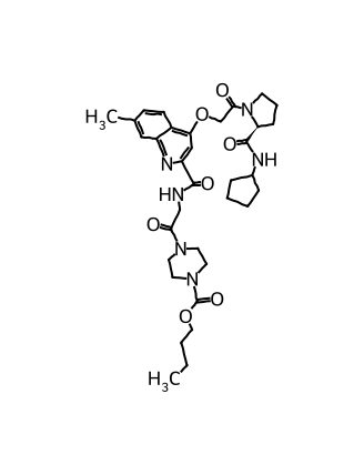 CCCCOC(=O)N1CCN(C(=O)CNC(=O)c2cc(OCC(=O)N3CCC[C@H]3C(=O)NC3CCCC3)c3ccc(C)cc3n2)CC1